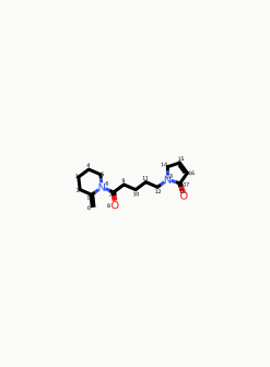 C=C1CCCCN1C(=O)CCCCN1CC=CC1=O